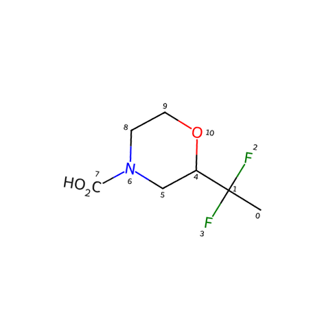 CC(F)(F)C1CN(C(=O)O)CCO1